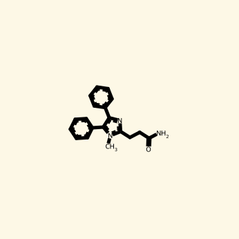 Cn1c(CCC(N)=O)nc(-c2ccccc2)c1-c1ccccc1